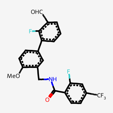 COc1ccc(-c2cccc(C=O)c2F)cc1CNC(=O)c1ccc(C(F)(F)F)cc1F